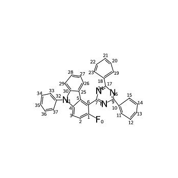 Fc1ccc2c(c1-c1nc(-c3ccccc3)nc(-c3ccccc3)n1)c1ccccc1n2-c1ccccc1